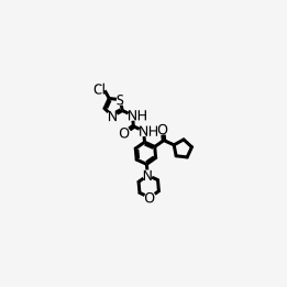 O=C(Nc1ncc(Cl)s1)Nc1ccc(N2CCOCC2)cc1C(=O)C1CCCC1